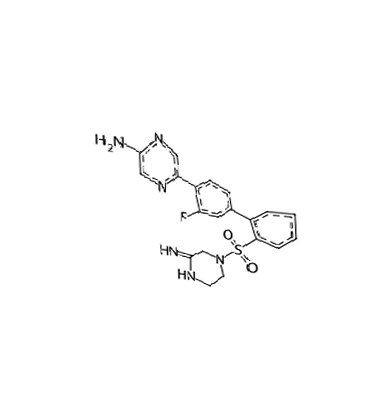 N=C1CN(S(=O)(=O)c2ccccc2-c2ccc(-c3cnc(N)cn3)c(F)c2)CCN1